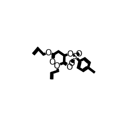 C=CCOC(=O)CC(OS(=O)(=O)c1ccc(C)cc1)C(=O)OCC=C